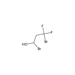 OC(Br)CC(F)(F)Br